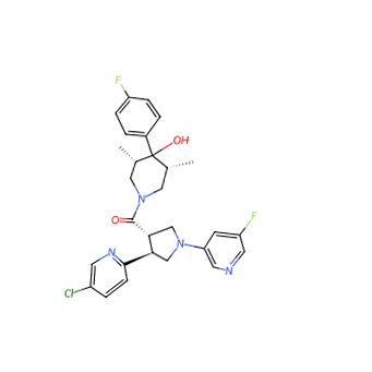 C[C@@H]1CN(C(=O)[C@@H]2CN(c3cncc(F)c3)C[C@H]2c2ccc(Cl)cn2)C[C@H](C)C1(O)c1ccc(F)cc1